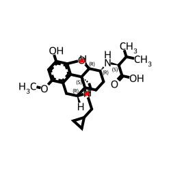 COc1cc(O)c2c3c1C[C@@H]1[C@@H]4CC[C@@H](N[C@H](C(=O)O)C(C)C)[C@H](O2)[C@]34CCN1CC1CC1